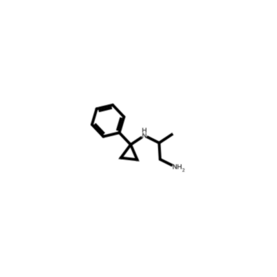 CC(CN)NC1(c2ccccc2)CC1